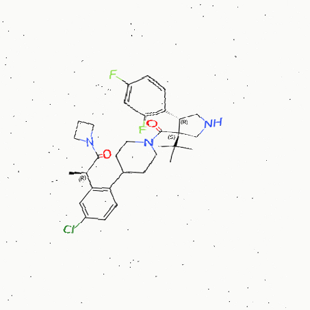 C[C@@H](C(=O)N1CCC1)c1cc(Cl)ccc1C1CCN(C(=O)[C@@]2(C(C)(C)C)CNC[C@H]2c2ccc(F)cc2F)CC1